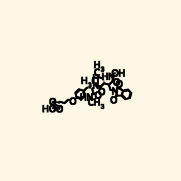 CNC(=O)[C@H](Cc1ccc(OCCCS(=O)(=O)O)cc1)NC(=O)[C@H](CC(C)C)C(CN1C(=O)c2ccccc2C1=O)C(=O)NO